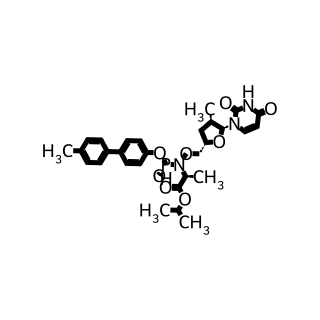 Cc1ccc(-c2ccc(O[PH](=O)N(OC[C@@H]3C[C@H](C)[C@H](n4ccc(=O)[nH]c4=O)O3)[C@@H](C)C(=O)OC(C)C)cc2)cc1